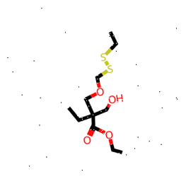 CCOC(=O)C(CC)(CO)COCSSCC